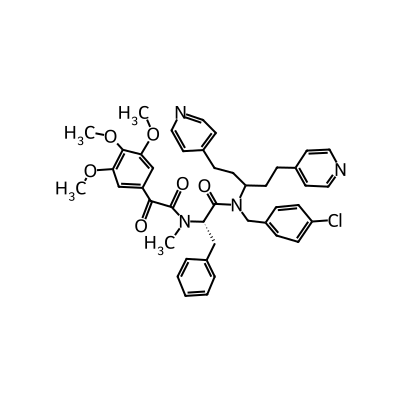 COc1cc(C(=O)C(=O)N(C)[C@@H](Cc2ccccc2)C(=O)N(Cc2ccc(Cl)cc2)C(CCc2ccncc2)CCc2ccncc2)cc(OC)c1OC